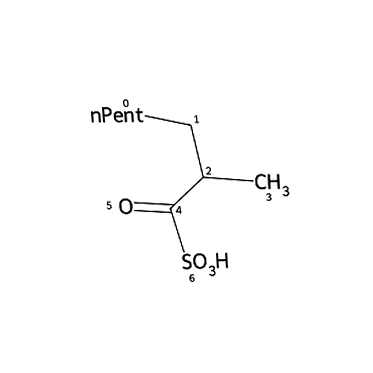 CCCCCCC(C)C(=O)S(=O)(=O)O